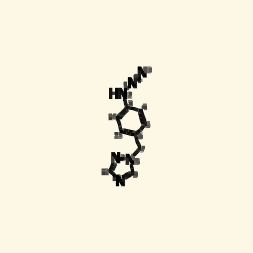 N#[N+]Nc1ccc(Cn2cncn2)cc1